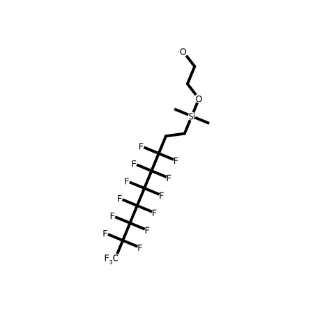 C[Si](C)(CCC(F)(F)C(F)(F)C(F)(F)C(F)(F)C(F)(F)C(F)(F)C(F)(F)F)OCC[O]